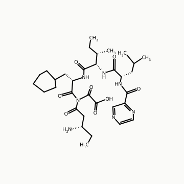 CC[C@H](N)CC(=O)N(C(=O)C(=O)O)C(=O)[C@H](CC1CCCCC1)NC(=O)[C@@H](NC(=O)[C@H](CC(C)C)NC(=O)c1cnccn1)[C@@H](C)CC